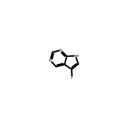 Fc1c[nH]c2ncncc12